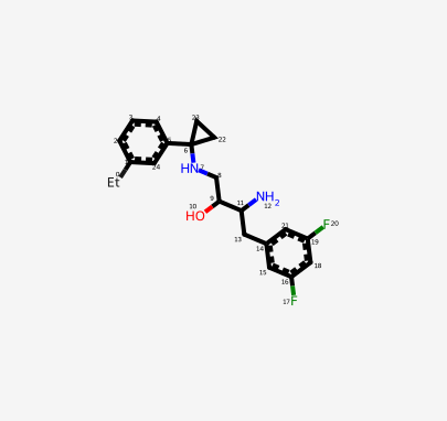 CCc1cccc(C2(NCC(O)C(N)Cc3cc(F)cc(F)c3)CC2)c1